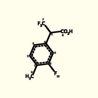 Cc1ccc(C(C(=O)O)C(F)(F)F)cc1F